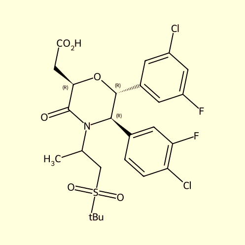 CC(CS(=O)(=O)C(C)(C)C)N1C(=O)[C@@H](CC(=O)O)O[C@H](c2cc(F)cc(Cl)c2)[C@H]1c1ccc(Cl)c(F)c1